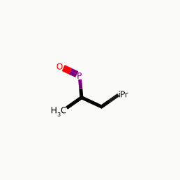 CC(C)CC(C)P=O